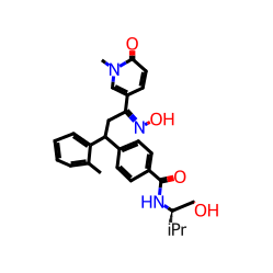 Cc1ccccc1C(CC(=NO)c1ccc(=O)n(C)c1)c1ccc(C(=O)N[C@@H](CO)C(C)C)cc1